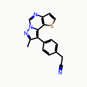 Cc1nn2cnc3ccsc3c2c1-c1ccc(CC#N)cc1